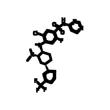 CN(C)[C@H]1C[C@@H](c2cccc(C(F)(F)F)c2)CC[C@@H]1N(C)c1cc(F)c(S(=O)(=O)Nc2ccncn2)cc1Cl